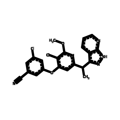 COc1nc(C(C)c2n[nH]c3ncccc23)cc(Oc2cc(Cl)cc(C#N)c2)c1Cl